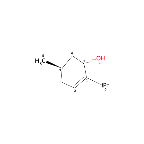 CC(C)C1=CC[C@@H](C)C[C@@H]1O